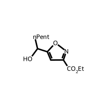 CCCCCC(O)c1cc(C(=O)OCC)no1